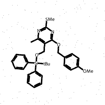 COc1ccc(COc2nc(SC)nc(C)c2CO[Si](c2ccccc2)(c2ccccc2)C(C)(C)C)cc1